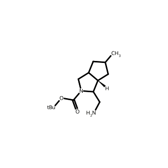 CC1CC2CN(C(=O)OC(C)(C)C)C(CN)[C@H]2C1